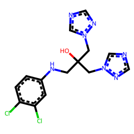 OC(CNc1ccc(Cl)c(Cl)c1)(Cn1cncn1)Cn1cncn1